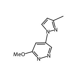 COc1cc(-n2ccc(C)n2)cnn1